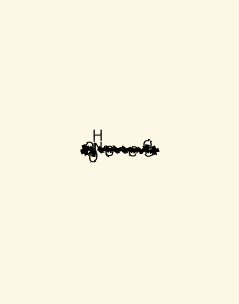 CC(C)(C)OC(=O)CCOCCCCCOCCNC(=O)OC(C)(C)C